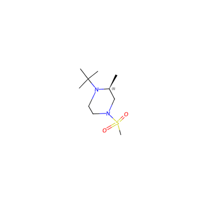 C[C@H]1CN(S(C)(=O)=O)CCN1C(C)(C)C